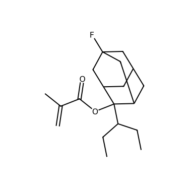 C=C(C)C(=O)OC1(C(CC)CC)C2CC3CC1CC(F)(C3)C2